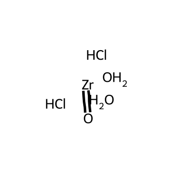 Cl.Cl.O.O.[O]=[Zr]